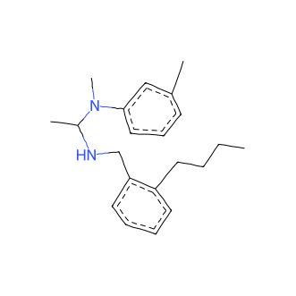 CCCCc1ccccc1CNC(C)N(C)c1cccc(C)c1